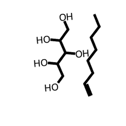 C=CCCCCCC.OCC(O)C(O)C(O)CO